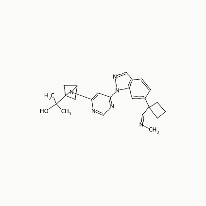 C/N=C\C1(c2ccc3cnn(-c4cc(N5CC6(C(C)(C)O)CC5C6)ncn4)c3c2)CCC1